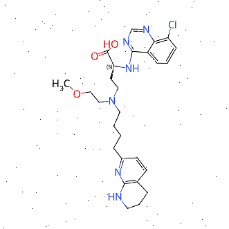 COCCN(CCCCc1ccc2c(n1)NCCC2)CC[C@H](Nc1ncnc2c(Cl)cccc12)C(=O)O